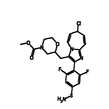 COC(=O)N1CCOC(Cc2c(-c3c(F)cc(SN)cc3F)nc3n2C=CC(Cl)C=C3)C1